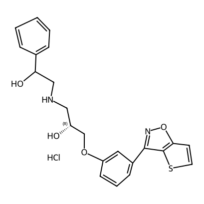 Cl.OC(CNC[C@@H](O)COc1cccc(-c2noc3ccsc23)c1)c1ccccc1